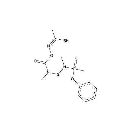 CC(S)=NOC(=O)N(C)SN(C)P(C)(=S)Oc1ccccc1